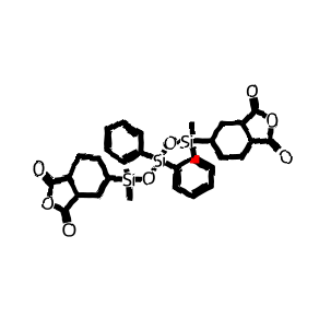 C[Si](C)(O[Si](O[Si](C)(C)C1CCC2C(=O)OC(=O)C2C1)(c1ccccc1)c1ccccc1)C1CCC2C(=O)OC(=O)C2C1